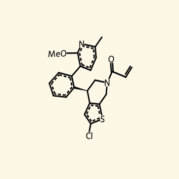 C=CC(=O)N1Cc2sc(Cl)cc2[C@@H](c2ccccc2-c2ccc(C)nc2OC)C1